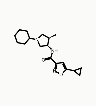 C[C@@H]1CN(C2CCCCC2)C[C@@H]1NC(=O)c1cc(C2CC2)on1